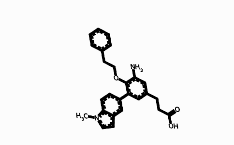 Cn1ccc2cc(-c3cc(CCC(=O)O)cc(N)c3OCCc3ccccc3)ccc21